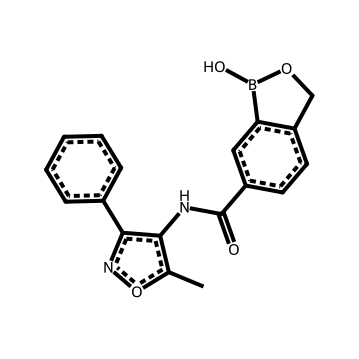 Cc1onc(-c2ccccc2)c1NC(=O)c1ccc2c(c1)B(O)OC2